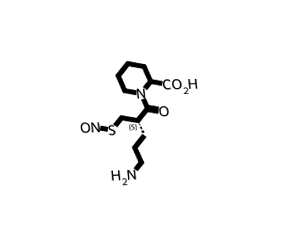 NCCC[C@H](CSN=O)C(=O)N1CCCCC1C(=O)O